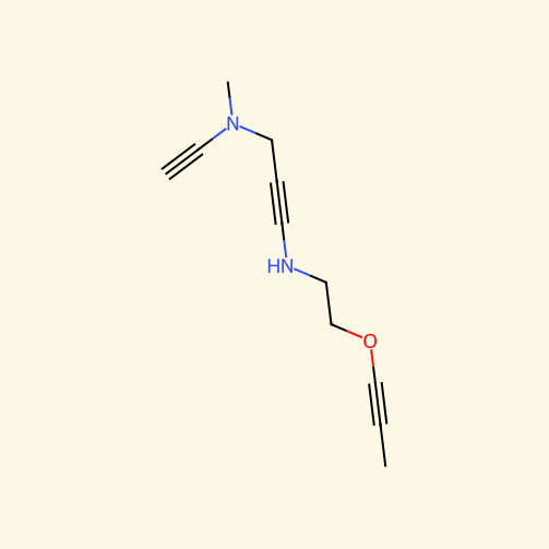 C#CN(C)CC#CNCCOC#CC